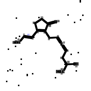 CCCCCCCC/C=C/C1=C(CC=C=CCC(O)C(=O)O)C(=O)CC1